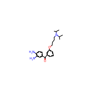 CC(C)N(CCCCOc1cccc(C(=O)c2ccc(N)c(N)c2)c1)C(C)C